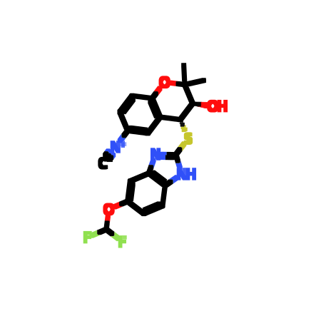 [C-]#[N+]c1ccc2c(c1)[C@@H](Sc1nc3cc(OC(F)F)ccc3[nH]1)[C@H](O)C(C)(C)O2